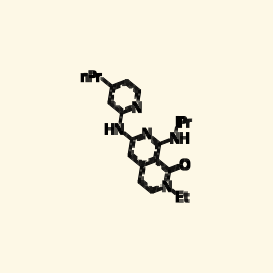 CCCc1ccnc(Nc2cc3ccn(CC)c(=O)c3c(NC(C)C)n2)c1